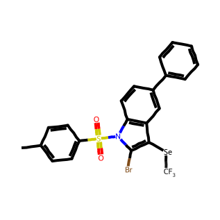 Cc1ccc(S(=O)(=O)n2c(Br)c([Se]C(F)(F)F)c3cc(-c4ccccc4)ccc32)cc1